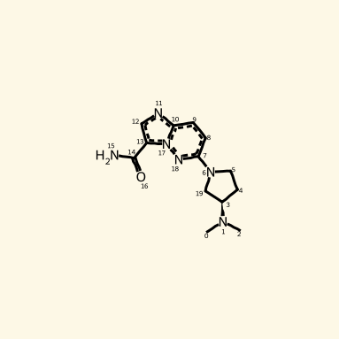 CN(C)[C@@H]1CCN(c2ccc3ncc(C(N)=O)n3n2)C1